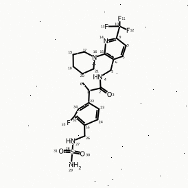 CC(C(=O)NCc1ccc(C(F)(F)F)nc1N1CCCCC1)c1ccc(CNS(N)(=O)=O)c(F)c1